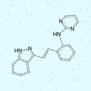 C(=Cc1n[nH]c2ccccc12)c1ccccc1Nc1ncccn1